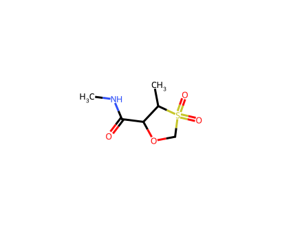 CNC(=O)C1OCS(=O)(=O)C1C